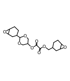 O=C(OCC1CCC2OC2C1)C(=O)OC1COC(C2CCC3OC3C2)OC1